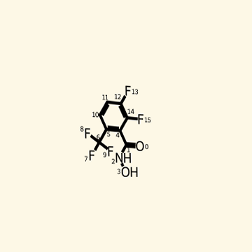 O=C(NO)c1c(C(F)(F)F)ccc(F)c1F